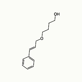 OCCCCOCC=Cc1ccccc1